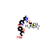 CS(C)(C)CCOCn1nccc1-c1ccc(Oc2ccc3c(CCO)coc3c2)nc1